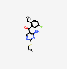 CCSc1ncc(C(=O)c2cc(F)ccc2CC)c(N)n1